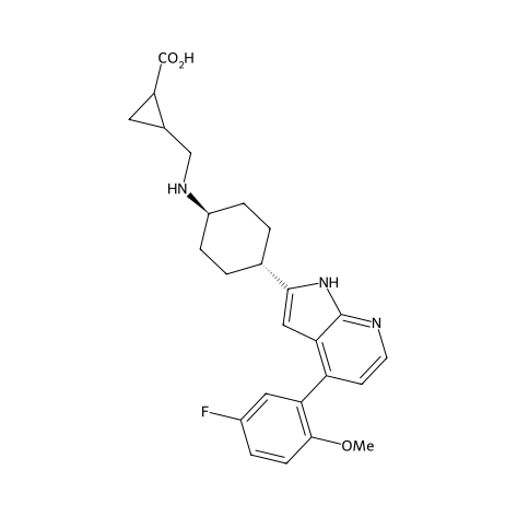 COc1ccc(F)cc1-c1ccnc2[nH]c([C@H]3CC[C@H](NCC4CC4C(=O)O)CC3)cc12